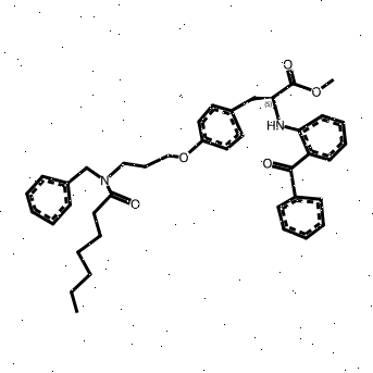 CCCCCCC(=O)N(CCCOc1ccc(C[C@H](Nc2ccccc2C(=O)c2ccccc2)C(=O)OC)cc1)Cc1ccccc1